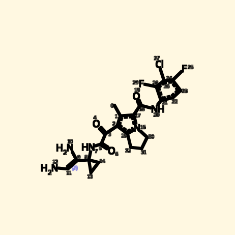 Cc1c(C(=O)C(=O)NC2(/C(N)=C/N)CC2)c2n(c1C(=O)Nc1ccc(F)c(Cl)c1F)CCC2